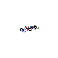 Cc1c(C(=O)NCc2cnn3ccccc23)oc2c1-c1nn(Cc3ccc(Cl)cc3)cc1CC2